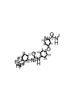 CNC(=O)c1cc(Oc2ccc(NC(=O)Nc3cccc(S(F)(F)(F)(F)F)c3)cc2)ccn1